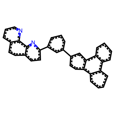 c1cc(-c2ccc3c4ccccc4c4ccccc4c3c2)cc(-c2ccc3ccc4cccnc4c3n2)c1